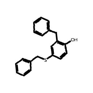 Oc1ccc(SCc2ccccc2)cc1Cc1ccccc1